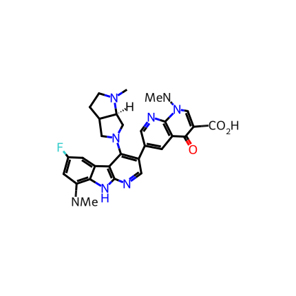 CNc1cc(F)cc2c1[nH]c1ncc(-c3cnc4c(c3)c(=O)c(C(=O)O)cn4NC)c(N3CC4CCN(C)[C@H]4C3)c12